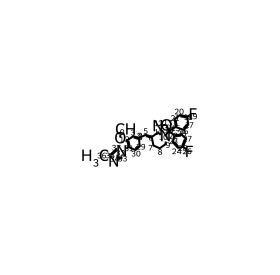 COc1cc(/C=C2\CCCN3C2=NOC3(c2ccc(F)cc2)c2ccc(F)cc2)ccc1-n1cnc(C)c1